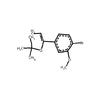 CC=C(OC(C)(C)C)c1ccc(Br)c(OC)c1